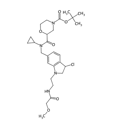 COCC(=O)NCCN1CC(Cl)c2ccc(CN(C(=O)C3CN(C(=O)OC(C)(C)C)CCO3)C3CC3)cc21